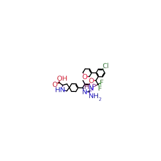 Cc1c(OC(c2ccc(Cl)cc2C2=CCCOC2)C(F)(F)P)nc(N)nc1C1=CCC2(CC1)CNC(C(=O)O)C2